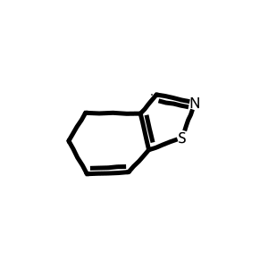 [c]1nsc2c1CCC=C2